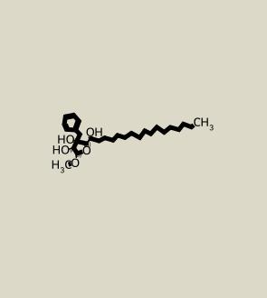 CCCCCCCCCCCCCCCCC(O)[C@H]1O[C@H](OC)[C@H](O)[C@@]1(O)Cc1ccccc1